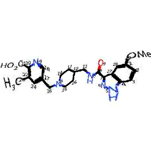 COc1ccc2[nH]nc(C(=O)NCC3CCN(Cc4cnc(C(=O)O)c(C)c4)CC3)c2c1